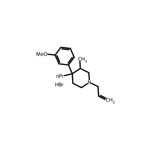 Br.C=CCN1CCC(CCC)(c2cccc(OC)c2)C(C)C1